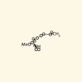 C=CC(=O)OCCCCOc1ccc(-c2ccc(C(=O)Oc3ccc(OC)cc3/C=N/Nc3cccc4ccccc34)cc2)cc1